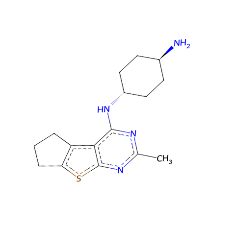 Cc1nc(N[C@H]2CC[C@H](N)CC2)c2c3c(sc2n1)CCC3